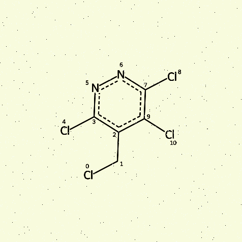 ClCc1c(Cl)nnc(Cl)c1Cl